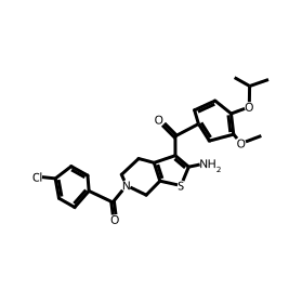 COc1cc(C(=O)c2c(N)sc3c2CCN(C(=O)c2ccc(Cl)cc2)C3)ccc1OC(C)C